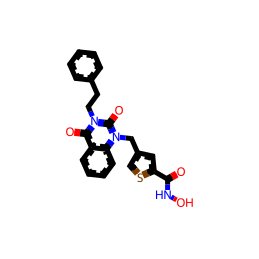 O=C(NO)c1cc(Cn2c(=O)n(CCc3ccccc3)c(=O)c3ccccc32)cs1